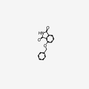 O=C1NC(=O)c2c(OCc3ccccc3)cccc21